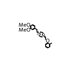 COc1ccc(CCN2CCN(CCOc3ccccc3C)CC2)cc1OC